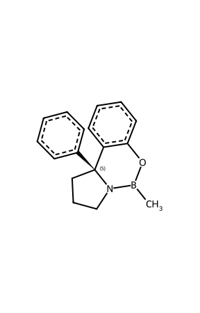 CB1Oc2ccccc2[C@@]2(c3ccccc3)CCCN12